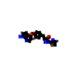 O=C(CCc1ccc(Oc2ccnc3[nH]ccc23)cc1)Nc1nccs1